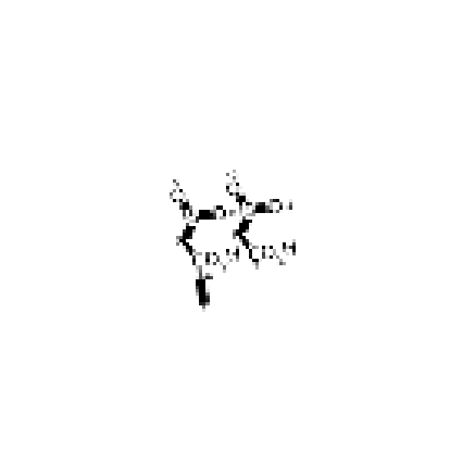 C=C.O=C(O)C=S(=O)=O.O=C(O)C=S(=O)=O